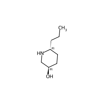 CCC[C@@H]1CC[C@@H](O)CN1